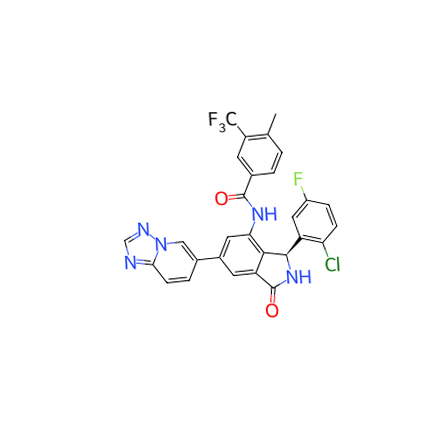 Cc1ccc(C(=O)Nc2cc(-c3ccc4ncnn4c3)cc3c2[C@@H](c2cc(F)ccc2Cl)NC3=O)cc1C(F)(F)F